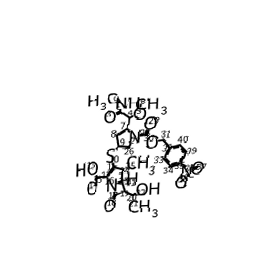 CNC(=O)C(OC)[C@@H]1C[C@H](SC2=C(C(=O)O)N3C(=O)[C@H]([C@@H](C)O)[C@H]3[C@H]2C)CN1C(=O)OCc1ccc([N+](=O)[O-])cc1